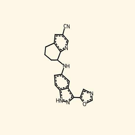 N#Cc1cnc2c(c1)CCCC2Nc1ccc2[nH]nc(-c3cnco3)c2c1